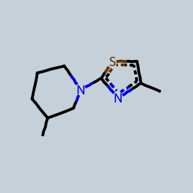 Cc1csc(N2CCCC(C)C2)n1